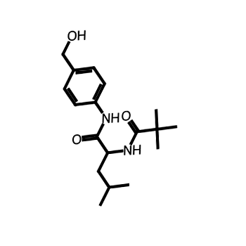 CC(C)CC(NC(=O)C(C)(C)C)C(=O)Nc1ccc(CO)cc1